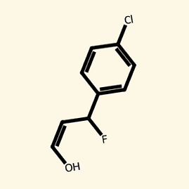 O/C=C\C(F)c1ccc(Cl)cc1